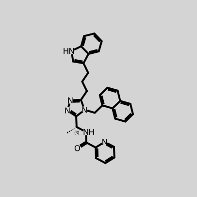 C[C@@H](NC(=O)c1ccccn1)c1nnc(CCCc2c[nH]c3ccccc23)n1Cc1cccc2ccccc12